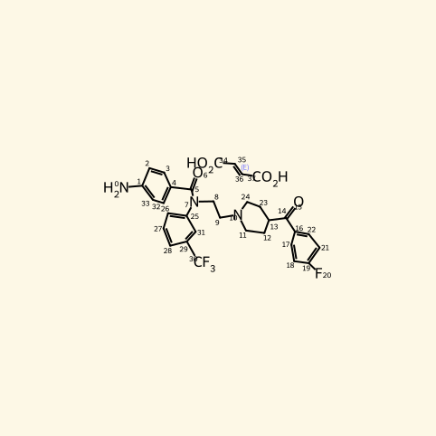 Nc1ccc(C(=O)N(CCN2CCC(C(=O)c3ccc(F)cc3)CC2)c2cccc(C(F)(F)F)c2)cc1.O=C(O)/C=C/C(=O)O